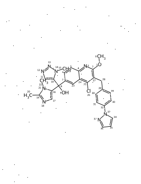 COc1nc2ccc(C(O)(c3cnnn3C)c3cnc(C)n3C)cc2c(Cl)c1Cc1ccc(-n2cccn2)cc1